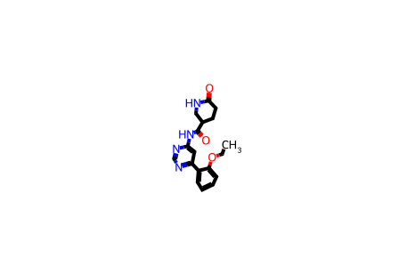 CCOc1ccccc1-c1cc(NC(=O)C2CCC(=O)NC2)ncn1